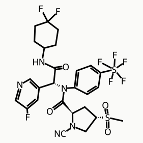 CS(=O)(=O)[C@H]1C[C@H](C(=O)N(c2ccc(S(F)(F)(F)(F)F)cc2)[C@@H](C(=O)NC2CCC(F)(F)CC2)c2cncc(F)c2)N(C#N)C1